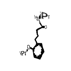 CC(C)NC(=O)CCCc1ccccc1OC(C)C